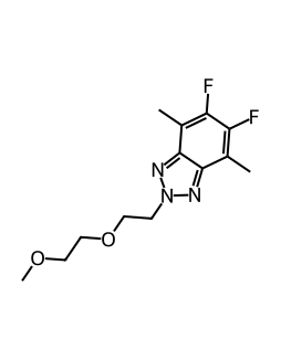 COCCOCCn1nc2c(C)c(F)c(F)c(C)c2n1